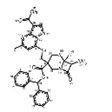 Cc1cc(SCC2(C(=O)OC(c3ccccc3)c3ccccc3)CS[C@@H]3C(N)C(=O)N3C2)n2ncc(C(=O)O)c2n1